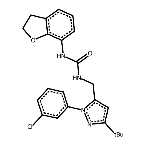 CC(C)(C)c1cc(CNC(=O)Nc2cccc3c2OCC3)n(-c2cccc(Cl)c2)n1